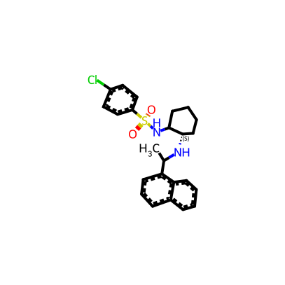 CC(N[C@H]1CCCCC1NS(=O)(=O)c1ccc(Cl)cc1)c1cccc2ccccc12